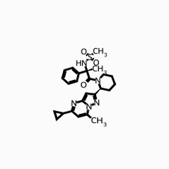 Cc1cc(C2CC2)nc2cc([C@@H]3CCCCN3C(=O)[C@@](C)(NS(C)(=O)=O)c3ccccc3)nn12